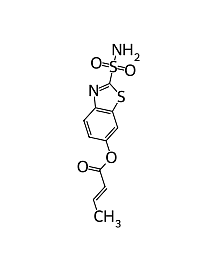 CC=CC(=O)Oc1ccc2nc(S(N)(=O)=O)sc2c1